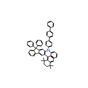 CC1(C)CCC(C)(C)c2c(-c3cc4c(cc3N(c3ccccc3)c3ccc(-c5ccc(-c6ccccc6)cc5)cc3)C(c3ccccc3)(c3ccccc3)c3ccccc3-4)cccc21